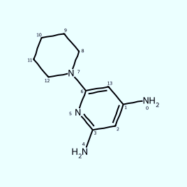 Nc1cc(N)nc(N2CCCCC2)c1